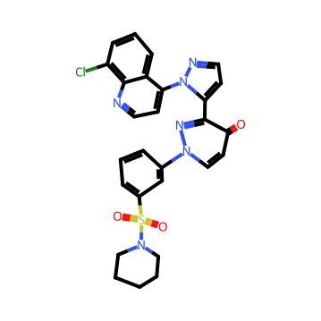 O=c1ccn(-c2cccc(S(=O)(=O)N3CCCCC3)c2)nc1-c1ccnn1-c1ccnc2c(Cl)cccc12